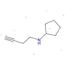 C#CCCNC1CCCC1